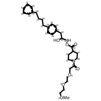 COCCOCCOCC(=O)N1CCC(C(=O)ONC(O)Cc2ccc(CCCCc3ccccc3)cc2)CC1